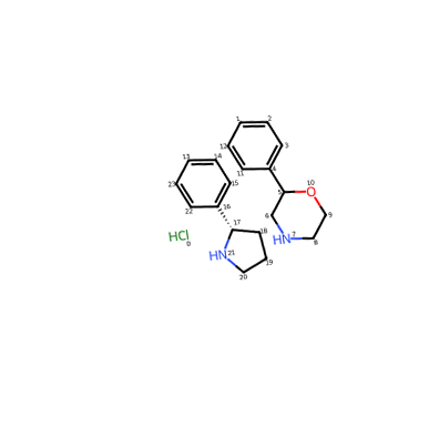 Cl.c1ccc(C2CNCCO2)cc1.c1ccc([C@@H]2CCCN2)cc1